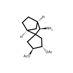 CC(=O)O[C@H]1CC2(C[C@@H]1OC(C)=O)[C@H]1CC[C@H](C1)[C@H]2N